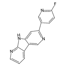 Fc1ccc(-c2cc3[nH]c4ncccc4c3cn2)cn1